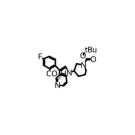 CC(C)(C)OC(=O)N1CCCC(n2cc(-c3ccc(F)cc3C(=O)O)c3cnccc32)C1